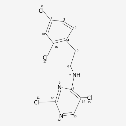 Clc1ccc(CCNc2nc(Cl)ncc2Cl)c(Cl)c1